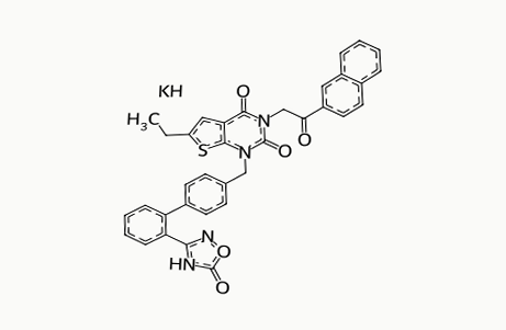 CCc1cc2c(=O)n(CC(=O)c3ccc4ccccc4c3)c(=O)n(Cc3ccc(-c4ccccc4-c4noc(=O)[nH]4)cc3)c2s1.[KH]